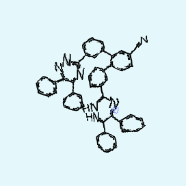 N#Cc1ccc(-c2cccc(C(=N)/N=C(\C(=N)c3ccccc3)c3ccccc3)c2)c(-c2cccc(-c3nnc(-c4ccccc4)c(-c4ccccc4)n3)c2)c1